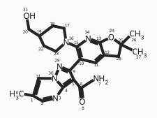 Cc1cnc2c(C(N)=O)c(-c3cc4c(nc3N3CCC(CO)CC3)OC(C)(C)C4)nn2c1